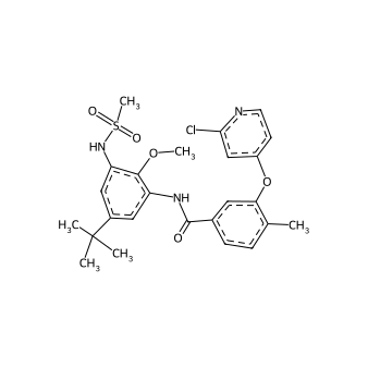 COc1c(NC(=O)c2ccc(C)c(Oc3ccnc(Cl)c3)c2)cc(C(C)(C)C)cc1NS(C)(=O)=O